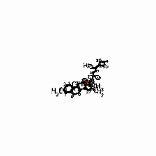 C=C1C=CC2(C)C(=C1)CCC1C2=CCC2(C)C1CC(C)[C@]2(C)C(=O)COC(=O)CCC(O)=C1CCC1